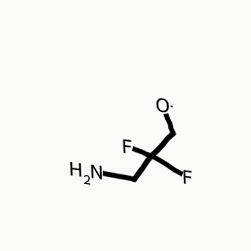 NCC(F)(F)C[O]